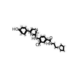 O=C(NCCN1CCCC1)c1ccc(Nc2cncc(-c3ccc(O)cc3)n2)c(Cl)c1